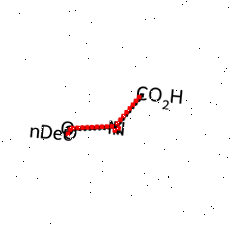 CCCCCCCCCCOC(=O)CCCCCCCCCCCCCCCCCN1CCN=C1CCCCCCCCCCCCCCCCC(=O)O